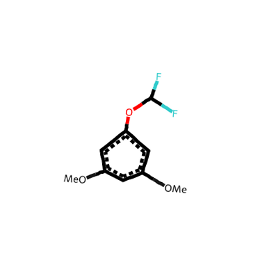 COc1cc(OC)cc(OC(F)F)c1